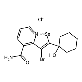 NC(=O)c1ccc[n+]2[se]c(C3(O)CCCCC3)c(Br)c12.[Cl-]